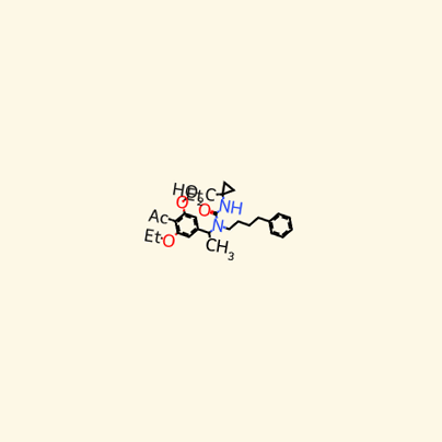 CCOc1cc(C(C)N(CCCCc2ccccc2)C(=O)NC2(C(=O)O)CC2)cc(OCC)c1C(C)=O